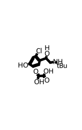 CC(C)(C)NCC(O)c1ccc(O)cc1Cl.O=C(O)C(=O)O